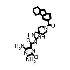 Nc1nc(N)c(C(=O)/N=C2\NCC3(CCN(C(=O)c4ccc5c(c4)C4=C(CCCC4)C5)CC3)N2)nc1Cl